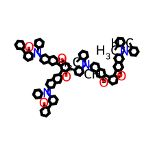 Cc1ccccc1N(c1ccc2cc3c(cc2c1)oc1ccc2oc4cc5cc(N(c6ccccc6C)c6cc(-c7cc8oc9cc%10cc(N(c%11ccccc%11)c%11cccc%12c%11oc%11ccccc%11%12)ccc%10cc9c8c8c7oc7cc9cc(N(c%10ccccc%10)c%10cccc%11c%10oc%10ccccc%10%11)ccc9cc78)ccc6C)ccc5cc4c2c13)c1ccccc1C